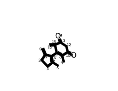 C=C1CCC(C)=C1C1=C(C)C(=O)CC(=O)C1=C